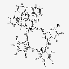 Fc1cc2c(c(F)c1F)-c1nc-2nc2[nH]c(nc3nc(nc4c5c(F)c(F)c(F)c(F)c5c(n1)n4F)-c1c(F)c(F)c(F)c(F)c1-3)c1c(Nc3ccccc3)c(Nc3ccccc3)c(Nc3ccccc3)c(Nc3ccccc3)c21